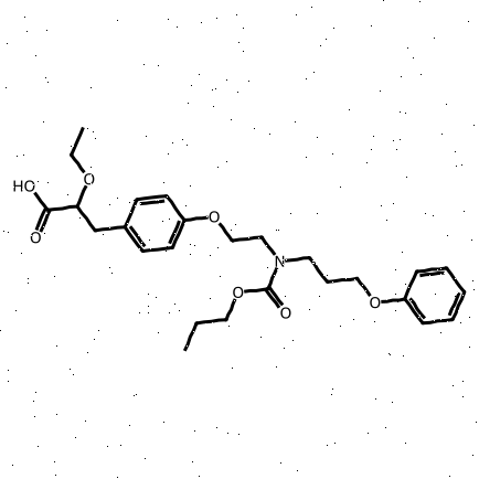 CCCOC(=O)N(CCCOc1ccccc1)CCOc1ccc(CC(OCC)C(=O)O)cc1